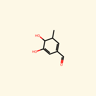 CC1C=C(C=O)C=C(O)C1O